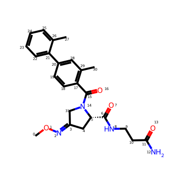 CON=C1C[C@@H](C(=O)NCCC(N)=O)N(C(=O)c2ccc(-c3ccccc3C)cc2C)C1